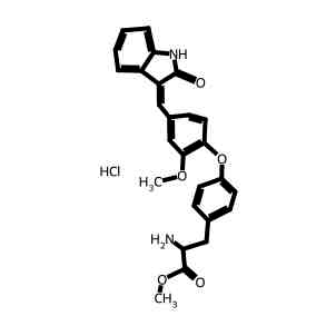 COC(=O)C(N)Cc1ccc(Oc2ccc(C=C3C(=O)Nc4ccccc43)cc2OC)cc1.Cl